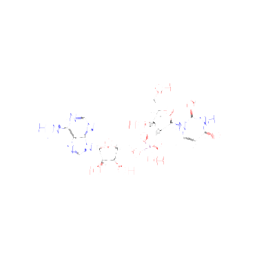 Nc1ncnc2c1ncn2[C@@H]1O[C@H](COP(=O)(O)O[C@@H]2[C@H](O)[C@@H](CO)O[C@H]2n2ccc(=O)[nH]c2=O)[C@@H](O)[C@H]1O